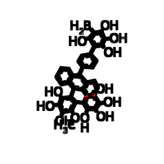 Bc1c(O)c(O)c(O)c(-c2ccc(-c3c4ccccc4c(-c4c(O)c(O)c(O)c(OC)c4-c4cc(O)c(O)c(O)c4O)c4ccccc34)cc2)c1O